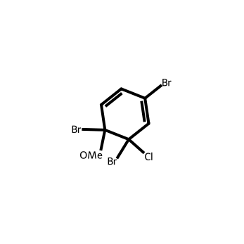 COC1(Br)C=CC(Br)=CC1(Cl)Br